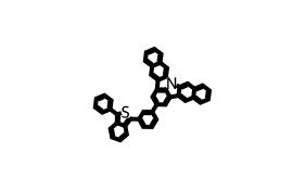 c1ccc(-c2sc(-c3cccc(-c4cc5c6cc7ccccc7cc6n6c7cc8ccccc8cc7c(c4)c56)c3)c3ccccc23)cc1